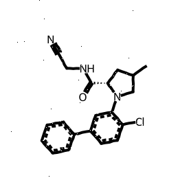 CC1C[C@@H](C(=O)NCC#N)N(c2cc(-c3ccccc3)ccc2Cl)C1